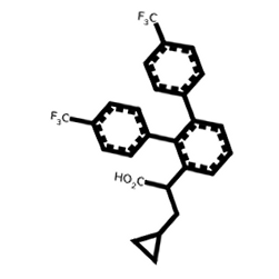 O=C(O)C(CC1CC1)c1cccc(-c2ccc(C(F)(F)F)cc2)c1-c1ccc(C(F)(F)F)cc1